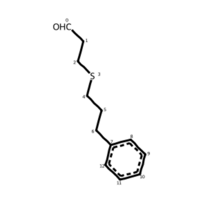 O=CCCSCCCc1ccccc1